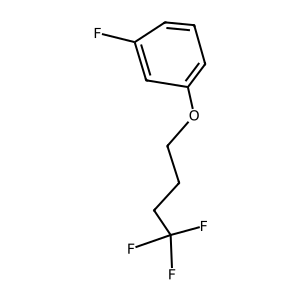 Fc1cccc(OCCCC(F)(F)F)c1